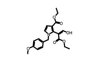 CCOC(=O)/C(=C\O)c1c(C(=O)OCC)ccn1Cc1ccc(OC)cc1